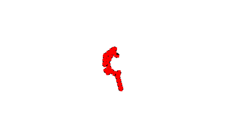 c1ccc(-c2ccc(-c3ccc(-c4ccc(-n5c6ccccc6c6cc(-c7ccc8c(c7)c7ccccc7n8-c7ccc(-c8ccc(-n9c%10ccc(-c%11ccc%12c(c%11)c%11c(-c%13ccccc%13)ccc(-c%13ccccc%13)c%11n%12-c%11cc(-c%12ccccc%12)cc(-c%12ccccc%12)c%11)cc%10c%10c(-c%11ccccc%11)ccc(-c%11ccccc%11)c%109)cc8)cc7-c7ccccc7)ccc65)cc4)cc3)cc2)cc1